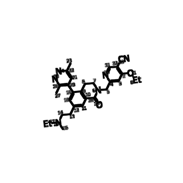 CCOc1cc(CN2CCc3c(cc(CCN(C)CC)cc3-c3cc(C)nnc3C)C2=O)ncc1C#N